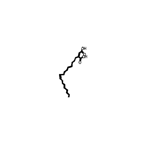 CCCCCCCC/C=C\CCCCCCCC/C(=C/C(=O)O)C(=O)O